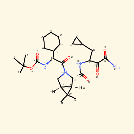 CC(C)(C)OC(=O)N[C@H](C(=O)N1C[C@H]2[C@@H]([C@H]1C(=O)NC(CC1CC1)C(=O)C(N)=O)C2(C)C)C1CCCCC1